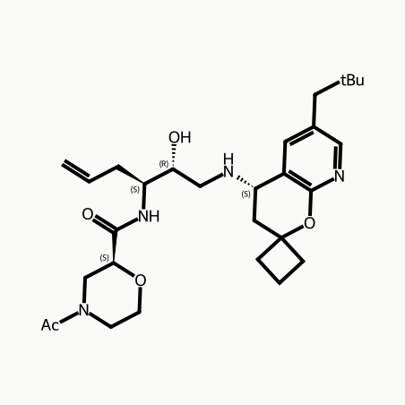 C=CC[C@H](NC(=O)[C@@H]1CN(C(C)=O)CCO1)[C@H](O)CN[C@H]1CC2(CCC2)Oc2ncc(CC(C)(C)C)cc21